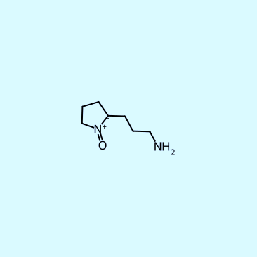 NCCC[C]1CCC[N+]1=O